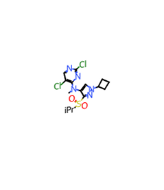 CC(C)S(=O)(=O)c1nn(C2CCC2)cc1N(C)c1nc(Cl)ncc1Cl